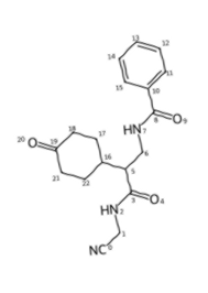 N#CCNC(=O)C(CNC(=O)c1ccccc1)C1CCC(=O)CC1